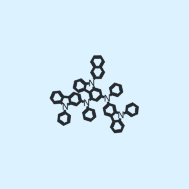 c1ccc(N(c2ccc3c4ccccc4n(-c4ccccc4)c3c2)c2cc(N(c3ccccc3)c3ccc4c5ccccc5n(-c5ccccc5)c4c3)c3c4ccccc4n(-c4ccc5ccccc5c4)c3c2)cc1